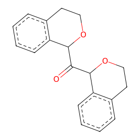 O=C(C1OCCc2ccccc21)C1OCCc2ccccc21